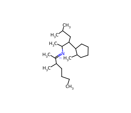 CCCCC(C)/C(C)=N/C(C)C(CC(C)C)C1CCCCC1C